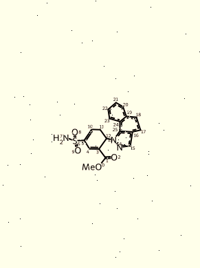 COC(=O)C1=CC(S(N)(=O)=O)=CCC1n1ncc2ccc3ccccc3c21